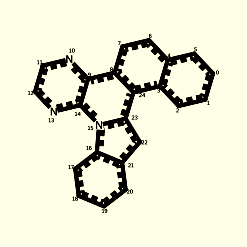 c1ccc2c(c1)ccc1c3nccnc3n3c4ccccc4cc3c21